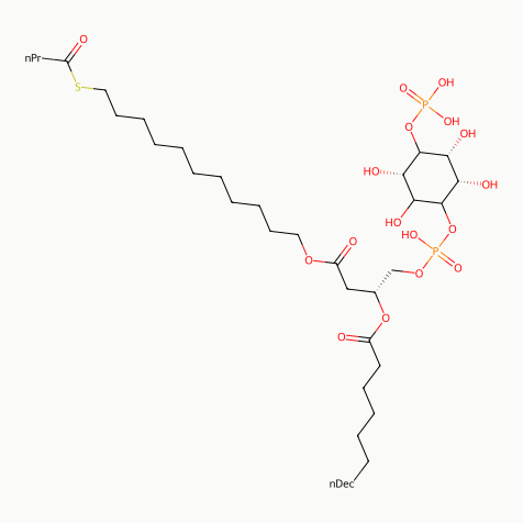 CCCCCCCCCCCCCCCC(=O)O[C@@H](COP(=O)(O)OC1C(O)[C@H](O)C(OP(=O)(O)O)[C@H](O)[C@@H]1O)CC(=O)OCCCCCCCCCCCSC(=O)CCC